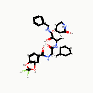 O=C(NCc1ccccc1)C(=O)C(C[C@@H]1CCCNC1=O)NC(=O)[C@H](CC1CCCCC1)NC(=O)c1ccc2c(c1)OC(F)(F)O2